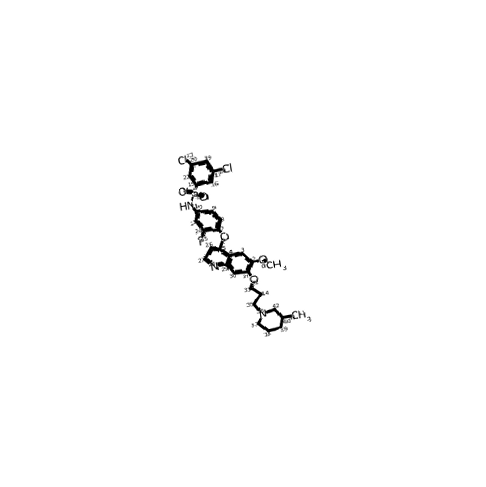 COc1cc2c(Oc3ccc(NS(=O)(=O)c4cc(Cl)cc(Cl)c4)cc3F)ccnc2cc1OCCCN1CCCC(C)C1